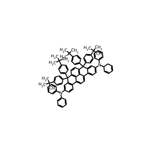 CC(C)(C)c1ccc(C2(c3ccc(C(C)(C)C)cc3)c3cc(N(c4ccccc4)c4ccccc4)ccc3-c3ccc4c5c(ccc2c35)C(c2ccc(C(C)(C)C)cc2)(c2ccc(C(C)(C)C)cc2)c2cc(N(c3ccccc3)C3C=CC=CC3)ccc2-4)cc1